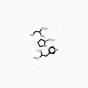 NC(CO)C(=O)O.NC(Cc1c[nH]cn1)C(=O)O.O=C(O)[C@@H]1CCCN1